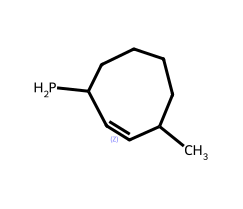 CC1/C=C\C(P)CCCC1